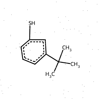 CC(C)(C)c1cc[c]c(S)c1